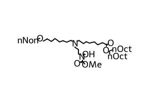 CCCCCCCCCOCCCCCCCCN(CCCCCCCC(=O)OC(CCCCCCCC)CCCCCCCC)CCCN(O)C(=O)OC